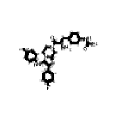 CCC(=O)Nc1ccc(C[C@H](N)C(=O)N2CCn3c(nc(-c4ccc(F)cc4)c3Nc3ccc(C)cc3)C2)cc1